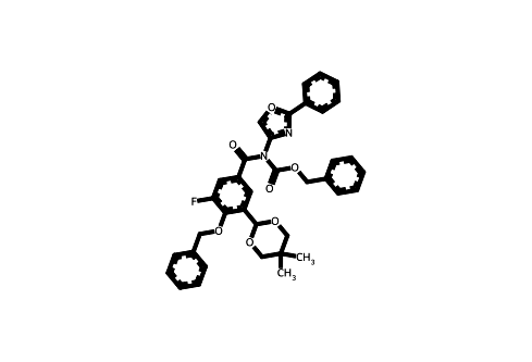 CC1(C)COC(c2cc(C(=O)N(C(=O)OCc3ccccc3)c3coc(-c4ccccc4)n3)cc(F)c2OCc2ccccc2)OC1